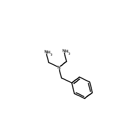 NCN(CN)Cc1ccccc1